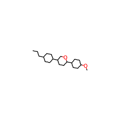 CCCC1CCC(C2CCC(C3CCC(OC)CC3)OC2)CC1